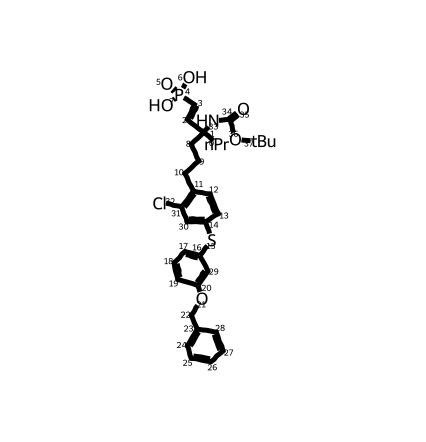 CCCC(C=CP(=O)(O)O)(CCCc1ccc(Sc2cccc(OCc3ccccc3)c2)cc1Cl)NC(=O)OC(C)(C)C